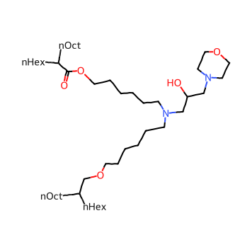 CCCCCCCCC(CCCCCC)COCCCCCCN(CCCCCCOC(=O)C(CCCCCC)CCCCCCCC)CC(O)CN1CCOCC1